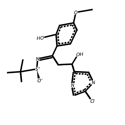 COc1ccc(/C(CC(O)c2cnc(Cl)cn2)=N/[S@@+]([O-])C(C)(C)C)c(O)c1